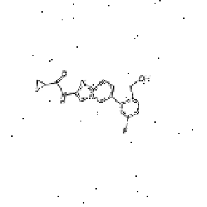 O=C(Nc1cn2cc(-c3cc(F)ccc3CO)ccc2n1)C1CC1